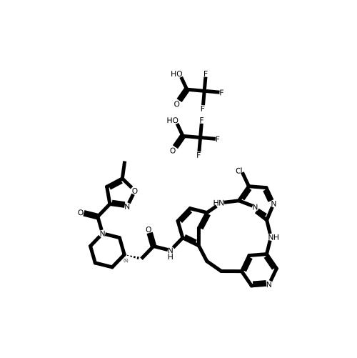 Cc1cc(C(=O)N2CCC[C@@H](CC(=O)Nc3ccc4cc3CCc3cncc(c3)Nc3ncc(Cl)c(n3)N4)C2)no1.O=C(O)C(F)(F)F.O=C(O)C(F)(F)F